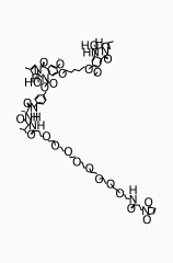 COc1cc2c(cc1OCCCCCOc1cc3c(cc1OC)C(=O)N1C=C(C)C[C@H]1[C@H](O)N3C(=O)OCc1ccc(NC(=O)[C@H](C)NC(=O)[C@@H](NC(=O)CCOCCOCCOCCOCCOCCOCCOCCOCCNC(=O)CCN3C(=O)C=CC3=O)C(C)C)cc1)N[C@@H](O)[C@@H]1CC(C)=CN1C2=O